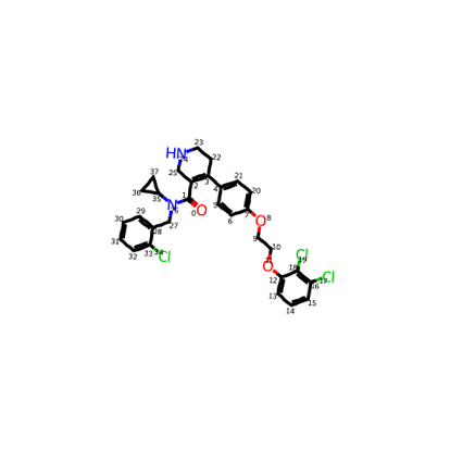 O=C(C1=C(c2ccc(OCCOc3cccc(Cl)c3Cl)cc2)CCNC1)N(Cc1ccccc1Cl)C1CC1